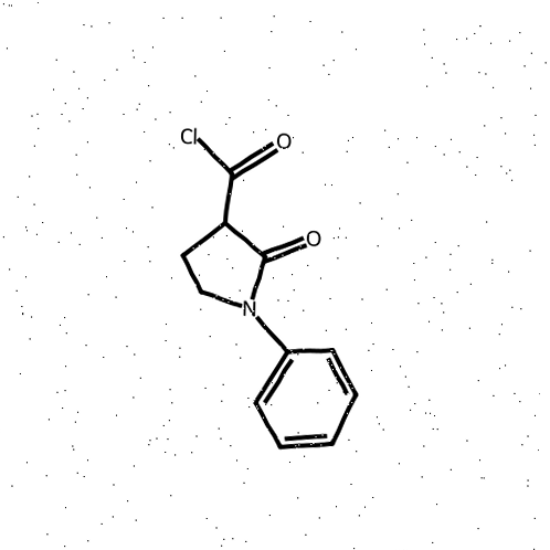 O=C(Cl)C1CCN(c2ccccc2)C1=O